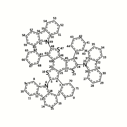 c1ccc(-c2c(-n3c4ccccc4c4ccccc43)sc3c2c2sc(-n4c5ccccc5c5ccccc54)c(-c4ccccc4)c2c2sc(-n4c5ccccc5c5ccccc54)c(-c4ccccc4)c32)cc1